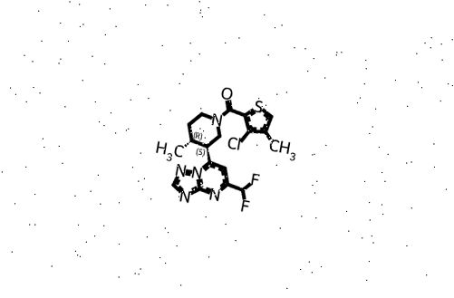 Cc1csc(C(=O)N2CC[C@@H](C)[C@H](c3cc(C(F)F)nc4ncnn34)C2)c1Cl